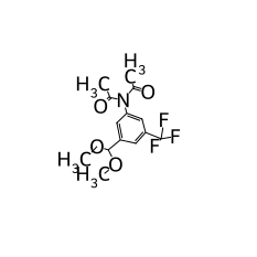 COC(OC)c1cc(N(C(C)=O)C(C)=O)cc(C(F)(F)F)c1